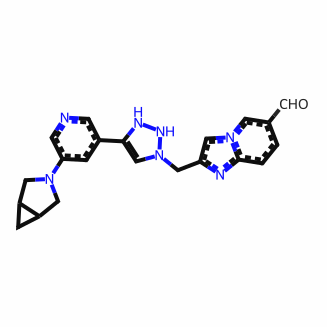 O=Cc1ccc2nc(CN3C=C(c4cncc(N5CC6CC6C5)c4)NN3)cn2c1